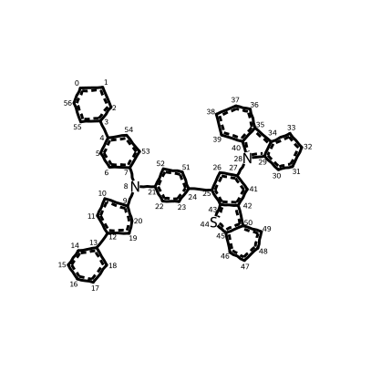 c1ccc(-c2ccc(N(c3ccc(-c4ccccc4)cc3)c3ccc(-c4cc(-n5c6ccccc6c6ccccc65)cc5c4sc4ccccc45)cc3)cc2)cc1